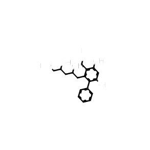 CCc1c(O)cc(O)c(-c2ccccc2)c1CC(O)CC(O)CO